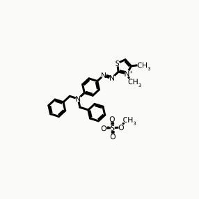 COS(=O)(=O)[O-].Cc1csc(N=Nc2ccc(N(Cc3ccccc3)Cc3ccccc3)cc2)[n+]1C